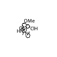 COc1ccc(S(=O)(=O)NC(C)CN2CCCCC2C)c2ccccc12.Cl